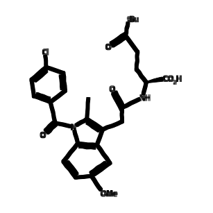 COc1ccc2c(c1)c(CC(=O)N[C@@H](CCC(=O)C(C)(C)C)C(=O)O)c(C)n2C(=O)c1ccc(Cl)cc1